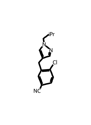 CC(C)Cn1cc(Cc2cc(C#N)ccc2Cl)cn1